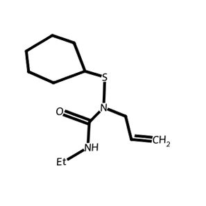 C=CCN(SC1CCCCC1)C(=O)NCC